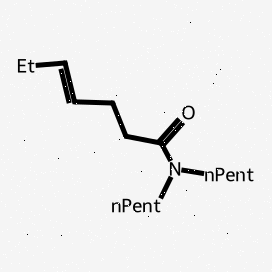 CCC=CCCC(=O)N(CCCCC)CCCCC